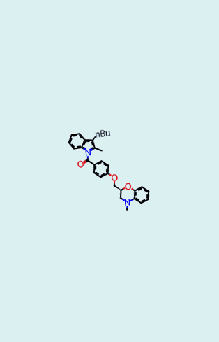 CCCCc1c(C)n(C(=O)c2ccc(OC[C@@H]3CN(C)c4ccccc4O3)cc2)c2ccccc12